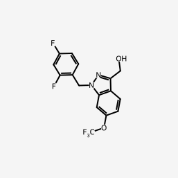 OCc1nn(Cc2ccc(F)cc2F)c2cc(OC(F)(F)F)ccc12